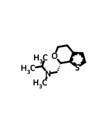 CC(C)N(C)C[C@@H]1OCCc2ccsc21